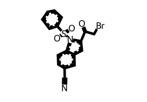 N#Cc1ccc2c(c1)cc(C(=O)CBr)n2S(=O)(=O)c1ccccc1